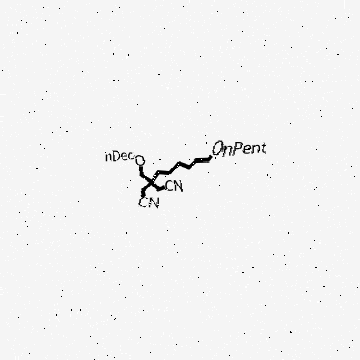 CCCCCCCCCCOCC(CC#N)(CC#N)CCCCCCOCCCCC